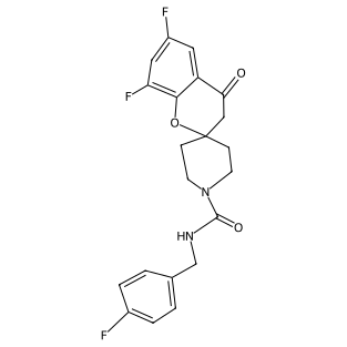 O=C1CC2(CCN(C(=O)NCc3ccc(F)cc3)CC2)Oc2c(F)cc(F)cc21